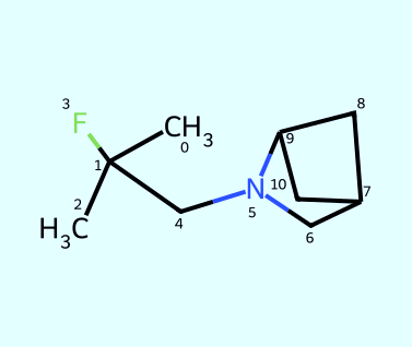 CC(C)(F)CN1CC2CC1C2